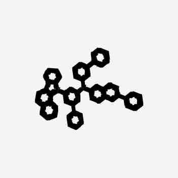 c1ccc(-c2cccc(N(c3cc(-c4ccccc4)cc(-n4c5ccccc5c5ccc6ccccc6c54)c3)c3ccc4cc(-c5ccccc5)ccc4c3)c2)cc1